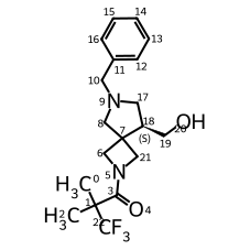 CC(C)(C(=O)N1CC2(CN(Cc3ccccc3)C[C@H]2CO)C1)C(F)(F)F